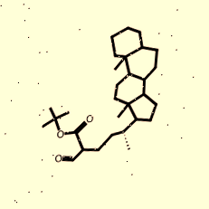 C[C@H](CCC(C=O)C(=O)OC(C)(C)C)C1CCC2C3CCC4CCCCC4(C)C3CCC21C